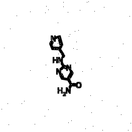 NC(=O)c1cnc(NCc2ccncc2)nc1